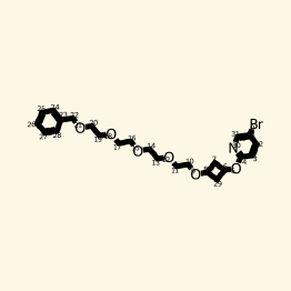 Brc1ccc(OC2CC(OCCOCCOCCOCCOCc3ccccc3)C2)nc1